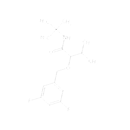 CC(C)C(OCc1cc(F)cc(F)c1)C(=O)NC(C)(C)C